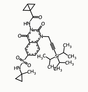 CC(C)[Si](C#CCn1c(=O)n(NC(=O)C23CC2C3)c(=O)c2cc(S(=O)(=O)NC3(C)CC3)ccc21)(C(C)C)C(C)C